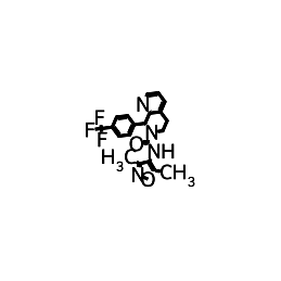 Cc1noc(C)c1NC(=O)N1CCc2cccnc2C1c1ccc(C(F)(F)F)cc1